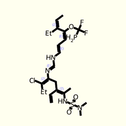 C=C/C(CC(/N=C/N/C=C/C=C(OC(F)(F)P)\C(=C/C)CC)=C(/Cl)CC)=C(/C)NS(=O)(=O)N(C)C